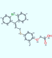 Cc1cc(SC/C=C(/c2ccccc2)c2ccccc2Br)ccc1OCC(=O)O